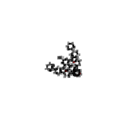 N#Cc1cc(-n2c3cc(-c4ncccn4)ccc3c3ccc(-c4ncccn4)cc32)c(-c2c(F)cccc2F)c(-n2c3cc(-c4ncccn4)ccc3c3ccc(-c4ncccn4)cc32)c1